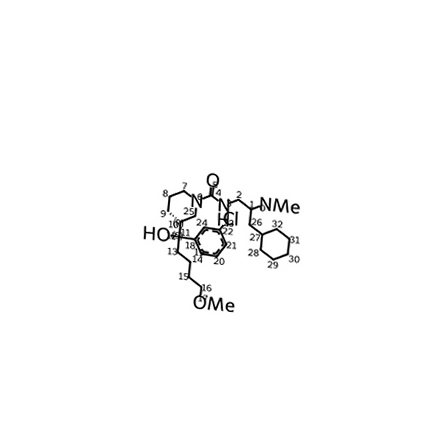 CNC(CNC(=O)N1CCC[C@@H]([C@@](O)(CCCCOC)c2cccc(Cl)c2)C1)CC1CCCCC1